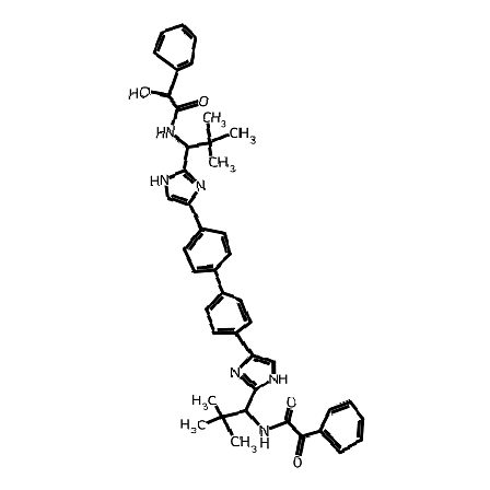 CC(C)(C)C(NC(=O)C(=O)c1ccccc1)c1nc(-c2ccc(-c3ccc(-c4c[nH]c(C(NC(=O)C(O)c5ccccc5)C(C)(C)C)n4)cc3)cc2)c[nH]1